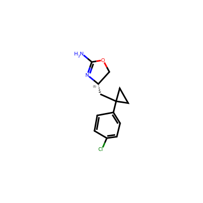 NC1=N[C@@H](CC2(c3ccc(Cl)cc3)CC2)CO1